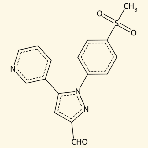 CS(=O)(=O)c1ccc(-n2nc(C=O)cc2-c2cccnc2)cc1